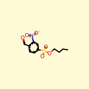 CCCCOS(=O)(=O)c1ccc(C=O)c([N+](=O)[O-])c1